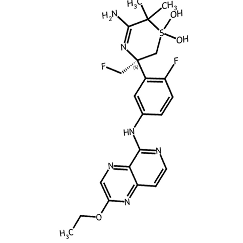 CCOc1cnc2c(Nc3ccc(F)c([C@]4(CF)CS(O)(O)C(C)(C)C(N)=N4)c3)nccc2n1